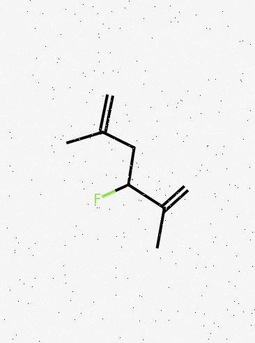 C=C(C)CC(F)C(=C)C